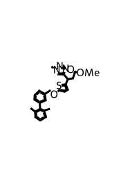 COC(=O)CC(c1cn(C)nn1)c1ccc(OCc2cccc(-c3c(C)cccc3C)c2)s1